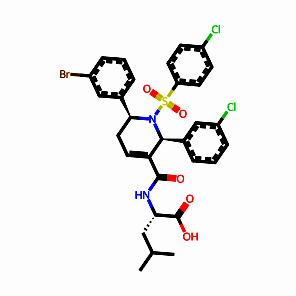 CC(C)C[C@H](NC(=O)C1=CC[C@@H](c2cccc(Br)c2)N(S(=O)(=O)c2ccc(Cl)cc2)[C@H]1c1cccc(Cl)c1)C(=O)O